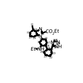 CCNc1cc(-n2c(C(=O)OCC)nc3c(C)cccc32)ccc1-c1ccccc1-c1nnn[nH]1